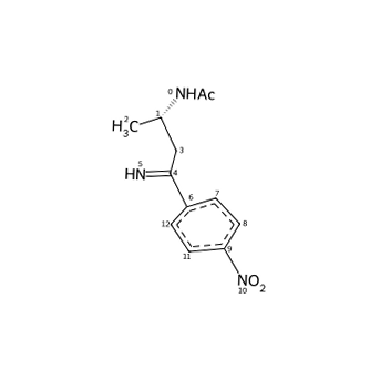 CC(=O)N[C@@H](C)CC(=N)c1ccc([N+](=O)[O-])cc1